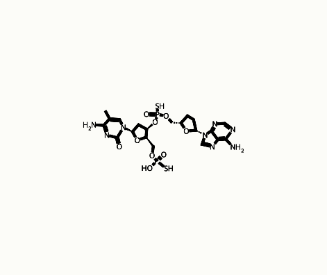 Cc1cn([C@H]2C[C@@H](OP(=O)(S)OC[C@@H]3CC[C@H](n4cnc5c(N)ncnc54)O3)[C@@H](COP(=O)(O)S)O2)c(=O)nc1N